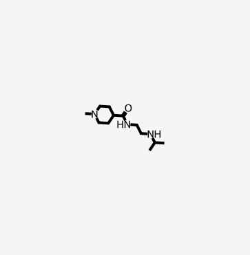 CC(C)NCCNC(=O)C1CCN(C)CC1